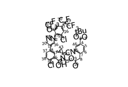 CC(C)(C)OC(=O)c1ccc(CC(=O)OCN(C(O)c2cc(-c3cnn(-c4c(Cl)cc(C(F)(C(F)(F)F)C(F)(F)F)cc4OC(F)(F)F)c3)ccc2Cl)C2(C#N)CC2)cc1